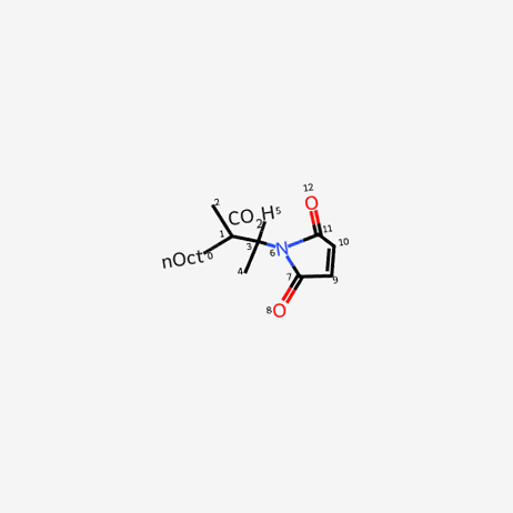 CCCCCCCCC(C)C(C)(C(=O)O)N1C(=O)C=CC1=O